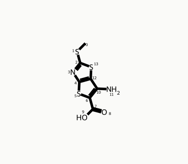 CSc1nc2sc(C(=O)O)c(N)c2s1